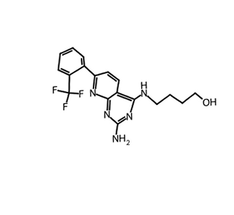 Nc1nc(NCCCCO)c2ccc(-c3ccccc3C(F)(F)F)nc2n1